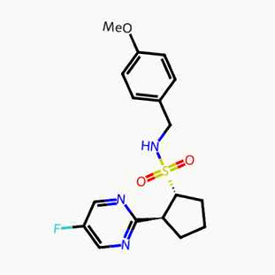 COc1ccc(CNS(=O)(=O)[C@@H]2CCC[C@H]2c2ncc(F)cn2)cc1